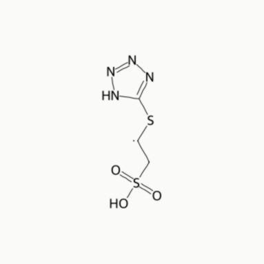 O=S(=O)(O)C[CH]Sc1nnn[nH]1